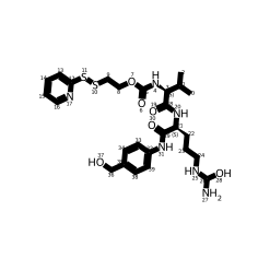 CC(C)[C@H](NC(=O)OCCSSc1ccccn1)C(=O)N[C@@H](CCCNC(N)O)C(=O)Nc1ccc(CO)cc1